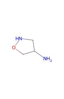 NC1CNOC1